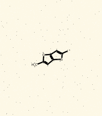 Cc1cc2sc(I)cc2o1